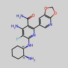 NC(=O)c1c(-c2cnc3c(c2)OCO3)nc(N[C@@H]2CCCC[C@@H]2N)c(F)c1N